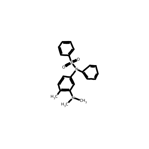 Cc1ccc(N(c2ccccc2)S(=O)(=O)c2ccccc2)cc1N(C)C